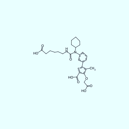 Cc1c(-c2cccc(N(C(=O)NCCCCCC(=O)O)C3CCCCC3)c2)sc(C(=O)O)c1OCC(=O)O